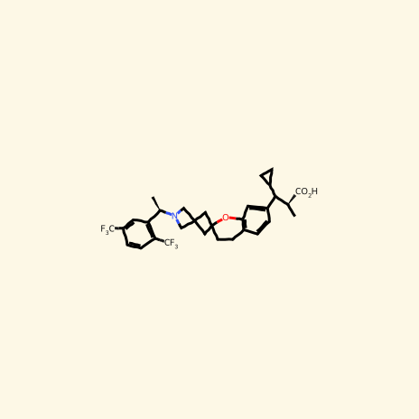 C[C@H](C(=O)O)C(c1ccc2c(c1)OC1(CC2)CC2(CN([C@H](C)c3cc(C(F)(F)F)ccc3C(F)(F)F)C2)C1)C1CC1